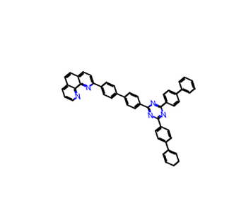 C1=CC(c2ccc(-c3nc(-c4ccc(-c5ccccc5)cc4)nc(-c4ccc(-c5ccc(-c6ccc7ccc8cccnc8c7n6)cc5)cc4)n3)cc2)=CCC1